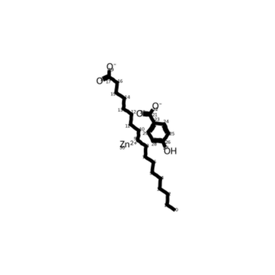 CCCCCCCCCCCCCCCCCC(=O)[O-].O=C([O-])c1ccc(O)cc1.[Zn+2]